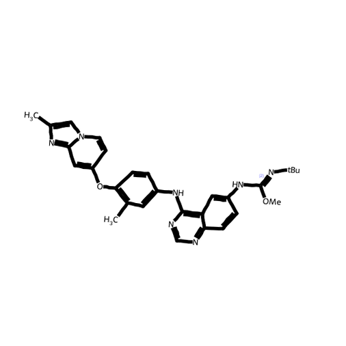 CO/C(=N\C(C)(C)C)Nc1ccc2ncnc(Nc3ccc(Oc4ccn5cc(C)nc5c4)c(C)c3)c2c1